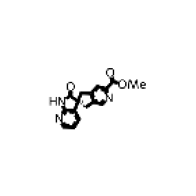 COC(=O)c1cc2c(cn1)C[C@@]1(C2)C(=O)Nc2ncccc21